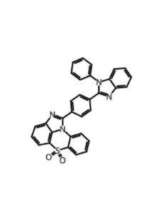 O=S1(=O)c2ccccc2-n2c(-c3ccc(-c4nc5ccccc5n4-c4ccccc4)cc3)nc3cccc1c32